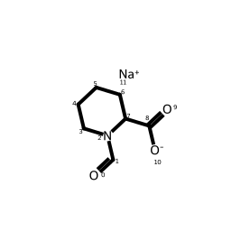 O=CN1CCCCC1C(=O)[O-].[Na+]